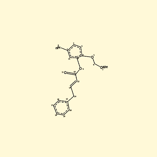 CCCc1ccc(OCOC)c(OC(=O)C=CCc2ccccc2)c1